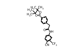 CC1(C)OB(c2ccc(CC(=O)Nc3ccc(C#N)c(C(F)(F)F)c3)cc2)OC1(C)C